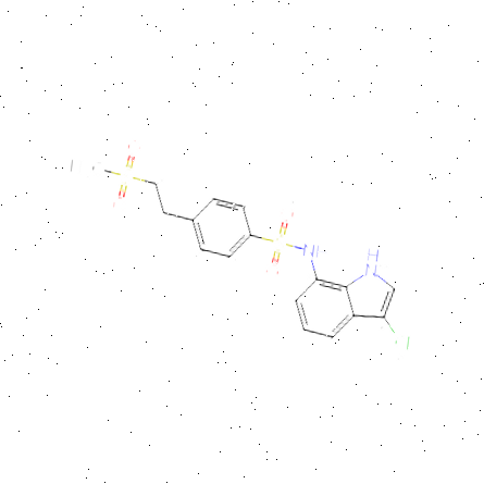 CS(=O)(=O)CCc1ccc(S(=O)(=O)Nc2cccc3c(Cl)c[nH]c23)cc1